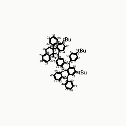 CC(C)(C)c1ccc(N2c3cc(N4c5ccc(C(C)(C)C)cc5C5(c6ccccc6)CCc6ccccc6C45C)ccc3B3c4ccccc4N(c4ccccc4)c4cc(C(C)(C)C)cc2c43)cc1